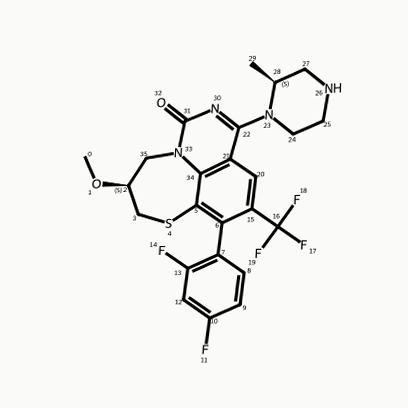 CO[C@@H]1CSc2c(-c3ccc(F)cc3F)c(C(F)(F)F)cc3c(N4CCNC[C@@H]4C)nc(=O)n(c23)C1